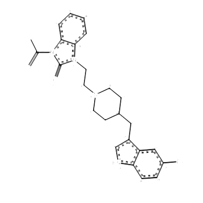 C=C(C)n1c(=O)n(CCN2CCC(Cc3c[nH]c4ccc(F)cc34)CC2)c2ccccc21